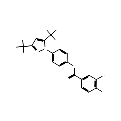 O=C(Nc1ccc(-n2nc(C(F)(F)F)cc2C(F)(F)F)cc1)c1ccc(O)c(Br)c1